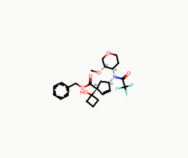 CO[C@@H]1COCC[C@@H]1N(C(=O)C(F)(F)F)[C@@H]1C=C[C@@](C(=O)OCc2ccccc2)(C2(O)CCC2)C1